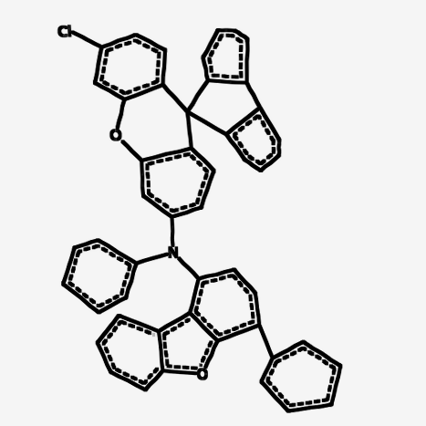 Clc1ccc2c(c1)Oc1cc(N(c3ccccc3)c3ccc(-c4ccccc4)c4oc5ccccc5c34)ccc1C21c2ccccc2-c2ccccc21